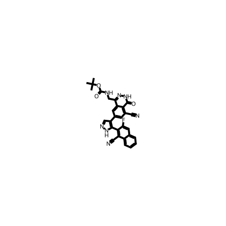 CC(C)(C)OC(=O)NCc1n[nH]c(=O)c2c(C#N)cc(-c3cn[nH]c3-c3c(F)cc4ccccc4c3C#N)cc12